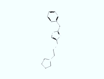 c1ccc(Cc2nc(OCCN3CCCC3)cs2)cc1